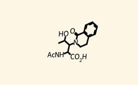 CC(=O)NC(C(=O)O)C(C(C)O)N1CCc2ccccc2C1=O